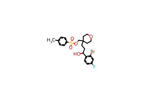 Cc1ccc(S(=O)(=O)OCC2(CCC(O)c3ccc(F)cc3Br)CCOCC2)cc1